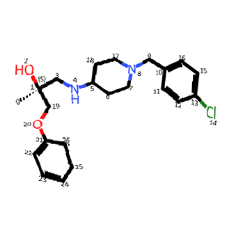 C[C@](O)(CNC1CCN(Cc2ccc(Cl)cc2)CC1)COC1=CC=CC[CH]1